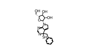 OC[C@H]1O[C@@H](N2CC=C3C2=NC=NC3(S)Cc2ccccc2)[C@H](O)[C@@H]1O